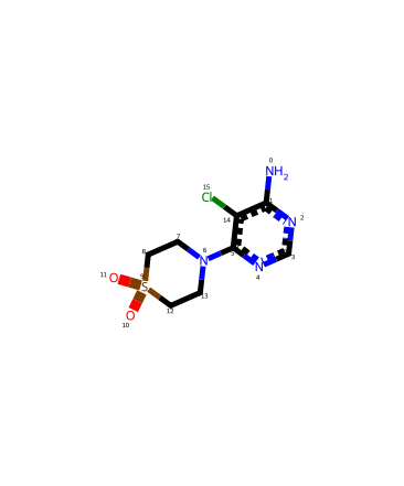 Nc1ncnc(N2CCS(=O)(=O)CC2)c1Cl